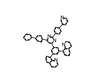 c1ccc(-c2ccc(-c3cc(-c4cc(-c5cccc6cccnc56)cc(-c5cccc6cccnc56)c4)nc(-c4ccc(-c5cccnc5)cc4)n3)cc2)cc1